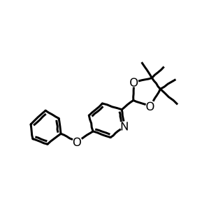 CC1(C)OC(c2ccc(Oc3ccccc3)cn2)OC1(C)C